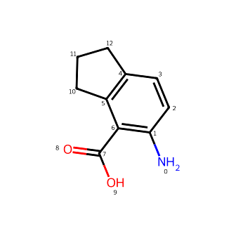 Nc1ccc2c(c1C(=O)O)CCC2